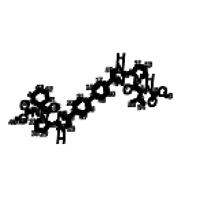 COC(=O)N[C@H](C(=O)N1CC=CC1c1nc(-c2ccc(-c3ccc(-c4c[nH]c([C@@H]5CCCN5C(=O)C5(NC(=O)OC)CCCCC5)n4)cc3)cc2)c[nH]1)C(C)C